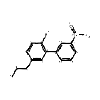 CCCc1c[c]c(Br)c(-c2cccc([N+](=O)[O-])c2)c1